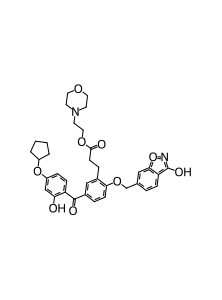 O=C(CCc1cc(C(=O)c2ccc(OC3CCCC3)cc2O)ccc1OCc1ccc2c(O)noc2c1)OCCN1CCOCC1